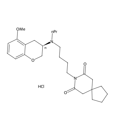 CCCN(CCCCN1C(=O)CC2(CCCC2)CC1=O)[C@H]1COc2cccc(OC)c2C1.Cl